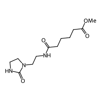 COC(=O)CCCCC(=O)NCCN1CCNC1=O